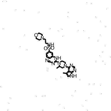 Cc1c[nH]c2ncnc(N3CCN(C(=NC#N)Nc4cccc(S(=O)(=O)NCCN5CCOCC5)c4)C(C)C3)c12